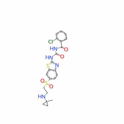 CC1(NCCS(=O)(=O)c2ccc3nc(NC(=O)NC(=O)c4ccccc4Cl)sc3c2)CC1